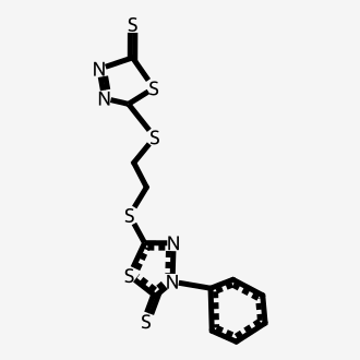 S=C1N=NC(SCCSc2nn(-c3ccccc3)c(=S)s2)S1